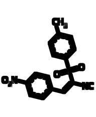 [C-]#[N+]/C(=C/c1ccc([N+](=O)[O-])cc1)S(=O)(=O)c1ccc(C)cc1